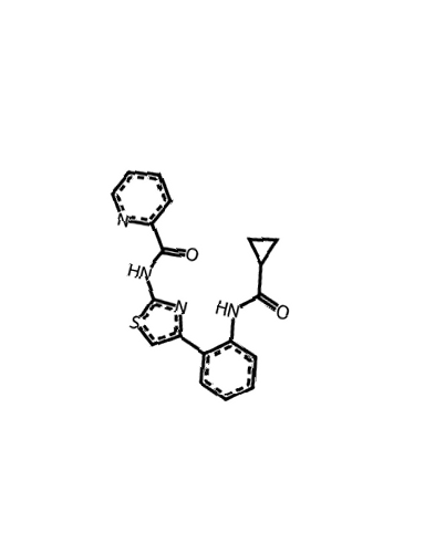 O=C(Nc1nc(-c2ccccc2NC(=O)C2CC2)cs1)c1ccccn1